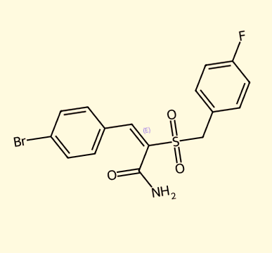 NC(=O)/C(=C\c1ccc(Br)cc1)S(=O)(=O)Cc1ccc(F)cc1